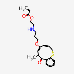 C=CC(=O)OCCNCCCOC1=C/C(C)C(=O)c2ccccc2SC/C=C\1